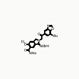 Br.CCOc1cc2c(cc1C(=O)NC)C(=N)N(CC(=O)c1cc(C(C)(C)C)c3ocnc3c1)C2